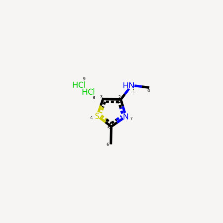 CNc1csc(C)n1.Cl.Cl